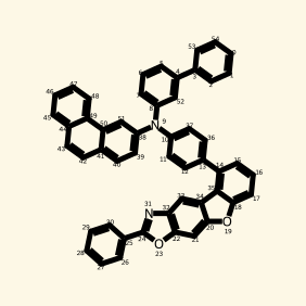 c1ccc(-c2cccc(N(c3ccc(-c4cccc5oc6cc7oc(-c8ccccc8)nc7cc6c45)cc3)c3ccc4ccc5ccccc5c4c3)c2)cc1